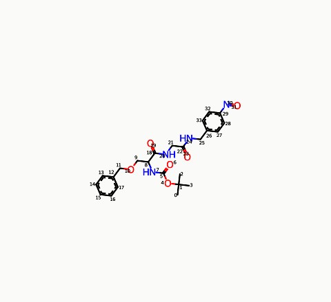 CC(C)(C)OC(=O)NC(COCc1ccccc1)C(=O)NCC(=O)NCc1ccc(N=O)cc1